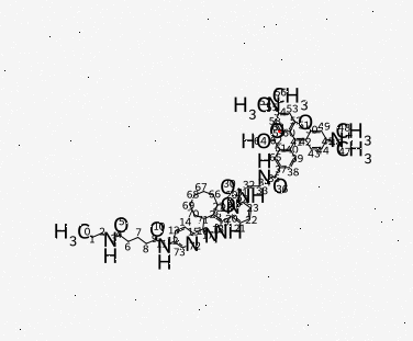 CCCNC(=O)CCCC(=O)Nc1ccc(C2=NNC(c3ccccn3)=C3C(OC(=O)NCCNC(=O)c4ccc(-c5c6ccc(=[N+](C)C)cc-6oc6cc(N(C)C)ccc56)c(C(=O)O)c4)CCCCCC23)nc1